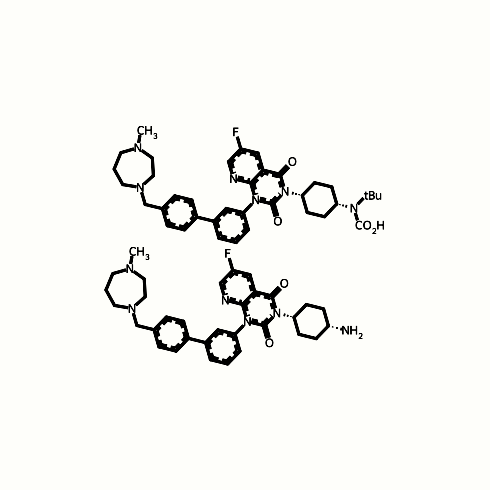 CN1CCCN(Cc2ccc(-c3cccc(-n4c(=O)n([C@H]5CC[C@@H](N(C(=O)O)C(C)(C)C)CC5)c(=O)c5cc(F)cnc54)c3)cc2)CC1.CN1CCCN(Cc2ccc(-c3cccc(-n4c(=O)n([C@H]5CC[C@@H](N)CC5)c(=O)c5cc(F)cnc54)c3)cc2)CC1